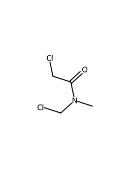 CN(CCl)C(=O)CCl